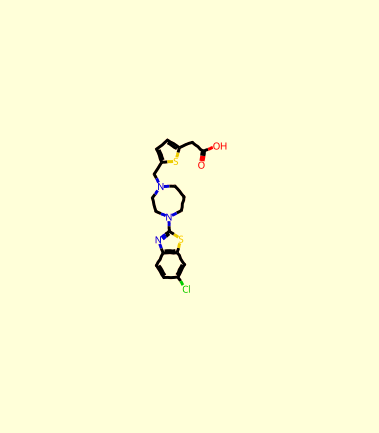 O=C(O)Cc1ccc(CN2CCCN(c3nc4ccc(Cl)cc4s3)CC2)s1